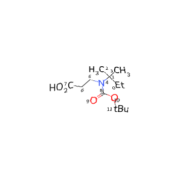 CCC(C)(C)N(CCC(=O)O)C(=O)OC(C)(C)C